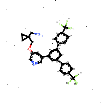 NCC1(COc2cncc(-c3cc(-c4ccc(C(F)(F)F)cc4)cc(-c4ccc(C(F)(F)F)cc4)c3)c2)CC1